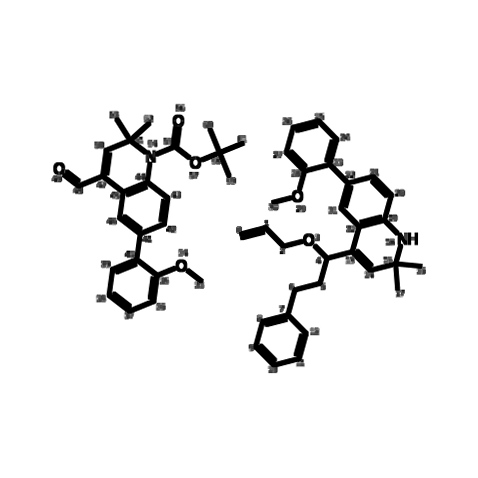 C=CCOC(CCc1ccccc1)C1=CC(C)(C)Nc2ccc(-c3ccccc3OC)cc21.COc1ccccc1-c1ccc2c(c1)C(C=O)=CC(C)(C)N2C(=O)OC(C)(C)C